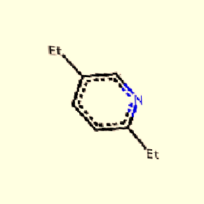 CCc1[c]nc(CC)cc1